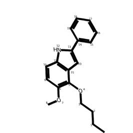 CCCCOc1c(OC)ccc2[nH]c(-c3ccccc3)cc12